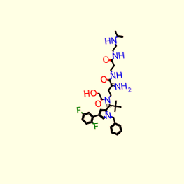 C=C(C)NCCNC(=O)CCNC(=O)[C@@H](N)CCN(C(=O)CO)[C@@H](c1cc(-c2cc(F)ccc2F)cn1Cc1ccccc1)C(C)(C)C